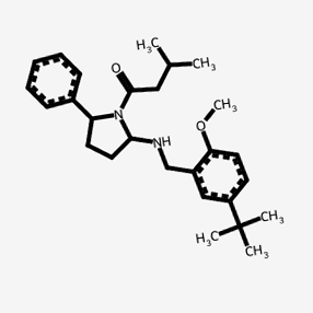 COc1ccc(C(C)(C)C)cc1CNC1CCC(c2ccccc2)N1C(=O)CC(C)C